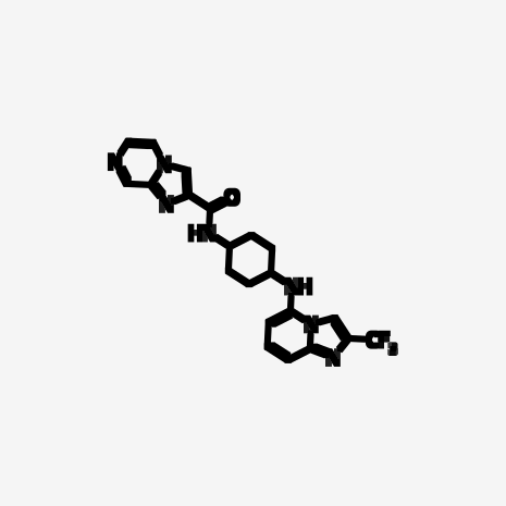 O=C(NC1CCC(Nc2cccc3nc(C(F)(F)F)cn23)CC1)c1cn2ccncc2n1